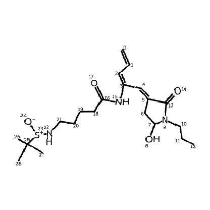 C=C/C=C(\C=C1/CC(O)N(CCC)C1=O)NC(=O)CCCCN[S+]([O-])C(C)(C)C